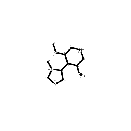 COC1CNCC(N)C1C1CNCN1C